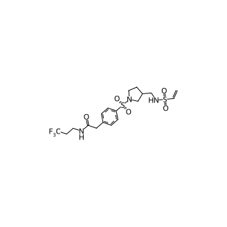 C=CS(=O)(=O)NCC1CCN(S(=O)(=O)c2ccc(CC(=O)NCCC(F)(F)F)cc2)C1